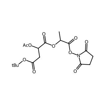 CC(=O)OC(CC(=O)OC(C)(C)C)C(=O)OC(C)C(=O)ON1C(=O)CCC1=O